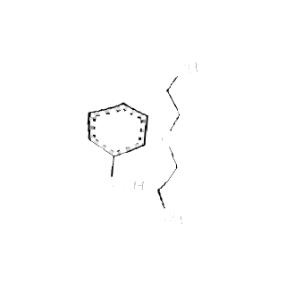 O=S(=O)(O)c1ccccc1.OCCOCCO